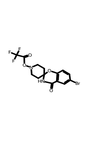 O=C1NC2(CCN(OC(=O)C(F)(F)F)CC2)Oc2ccc(Br)cc21